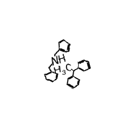 CC(c1ccccc1)c1ccccc1.c1ccc(CNCc2ccccc2)cc1